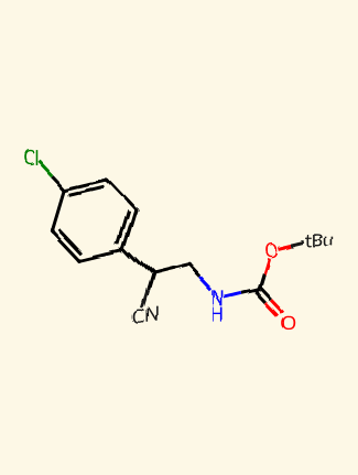 CC(C)(C)OC(=O)NCC(C#N)c1ccc(Cl)cc1